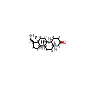 CC/C=C1/CC[C@H]2[C@@H]3CC[C@@H]4CC(=O)CC[C@@H]4[C@H]3CC[C@]12C